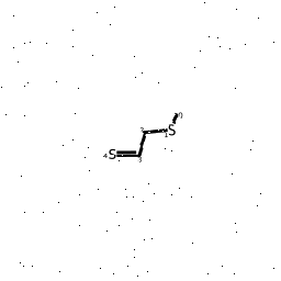 CSCC=S